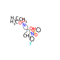 CCCC1(C(O)C2Cc3cc(F)ccc3N2S(=O)(=O)c2ccccc2)CCN(C(=O)OC(C)(C)C)CC1